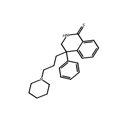 S=C1NCC(CCCN2CCCCC2)(c2ccccc2)c2ccccc21